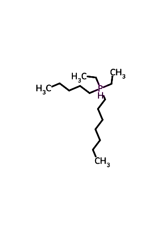 CCCCCCC[PH](CC)(CC)CCCCC